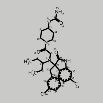 CCC(CC)N(CC(=O)N1CCC(OC(N)=O)CC1)C1(Cc2cccc(Cl)c2)C(=O)Nc2cc(Cl)ccc21